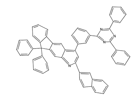 c1ccc(-c2nc(-c3ccccc3)nc(-c3cccc(-c4cc(-c5ccc6ccccc6c5)nc5cc6c(cc45)-c4ccccc4C6(c4ccccc4)c4ccccc4)c3)n2)cc1